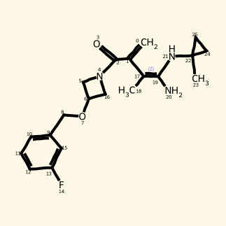 C=C(C(=O)N1CC(OCc2cccc(F)c2)C1)/C(C)=C(/N)NC1(C)CC1